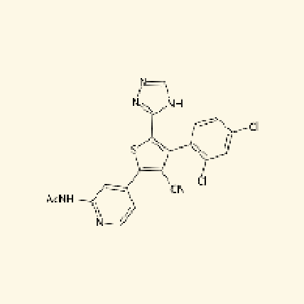 CC(=O)Nc1cc(-c2sc(-c3nnc[nH]3)c(-c3ccc(Cl)cc3Cl)c2C#N)ccn1